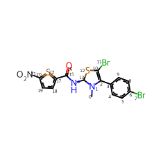 CN1C(c2ccc(Br)cc2)=C(Br)SC1NC(=O)c1ccc([N+](=O)[O-])s1